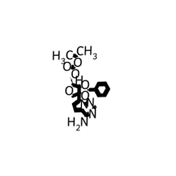 CC(C)OC(=O)OC[C@H]1OCC2(c3ccc4c(N)ncnn34)OC(c3ccccc3)O[C@H]12